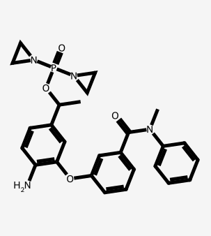 CC(OP(=O)(N1CC1)N1CC1)c1ccc(N)c(Oc2cccc(C(=O)N(C)c3ccccc3)c2)c1